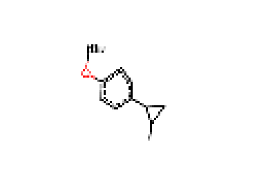 CC1CC1c1ccc(OC(C)(C)C)cc1